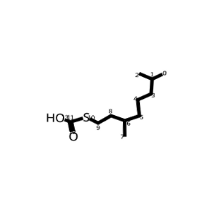 CC(C)CCCC(C)CCSC(=O)O